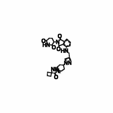 NC1(C(=O)N2CCC(n3cc(CNc4cccc5c4C(=O)N(C4CCC(=O)NC4=O)C5=O)cn3)CC2)CCC1